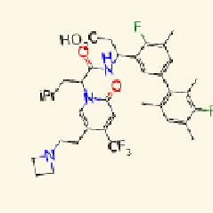 Cc1cc(-c2c(C)cc(C)c(F)c2C)cc(C(CC(=O)O)NC(=O)C(CC(C)C)n2cc(CCN3CCC3)c(C(F)(F)F)cc2=O)c1F